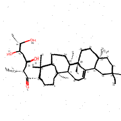 CO[C@@H](C(=O)[C@H]1CC[C@@]2(C)C(CC[C@]3(C)C2CC=C2C4CC(C)(C)CC[C@]4(C(=O)O)CC[C@]23C)C1(C)C)C(O)C(O)[C@H](C)O